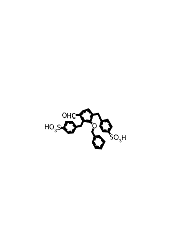 O=Cc1ccc(Cc2ccc(S(=O)(=O)O)cc2)c(OCc2ccccc2)c1Cc1ccc(S(=O)(=O)O)cc1